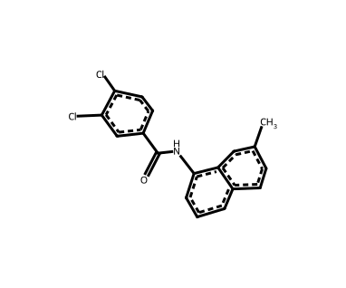 Cc1ccc2cccc(NC(=O)c3ccc(Cl)c(Cl)c3)c2c1